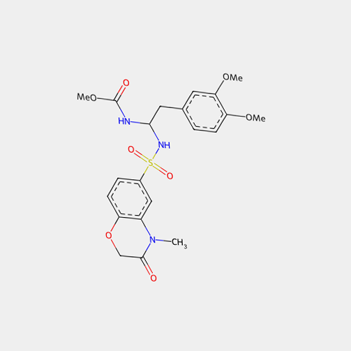 COC(=O)NC(Cc1ccc(OC)c(OC)c1)NS(=O)(=O)c1ccc2c(c1)N(C)C(=O)CO2